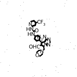 Nc1ncnn2c(CN3CCOCC3)c(C=O)c(-c3ccc(NC(=O)Nc4cc(C(F)(F)F)ccn4)cc3)c12